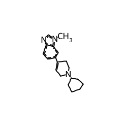 Cn1cnc2ccc(C3=CCN(C4CCCCC4)CC3)cc21